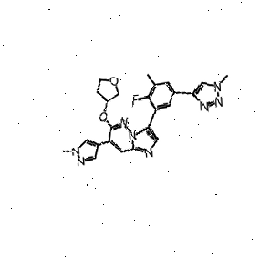 Cc1cc(-c2cn(C)nn2)cc(-c2cnc3cc(-c4cnn(C)c4)c(O[C@H]4CCOC4)nn23)c1F